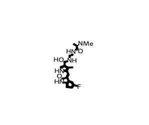 CN[C@@H](C)C(=O)NCCNC(O)c1c[nH]c(/C=C2\C(=O)Nc3ccc(F)cc32)c1C